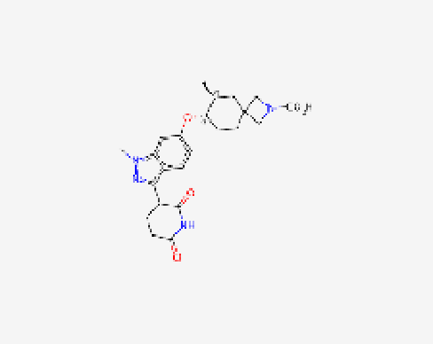 C[C@H]1CC2(CC[C@@H]1Oc1ccc3c(C4CCC(=O)NC4=O)nn(C)c3c1)CN(C(=O)O)C2